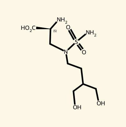 N[C@@H](CN(CCC(CO)CO)S(N)(=O)=O)C(=O)O